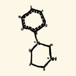 [c]1cccc(N2CCCNC2)c1